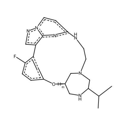 CC(C)C1CN2CCNc3ccn4ncc(c4n3)-c3cc(ccc3F)O[C@H](CN1)C2